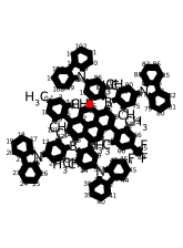 Cc1cc(C)c(-c2cc(B(c3c(C)cc(-n4c5ccccc5c5ccccc54)cc3C)c3c(C)cc(-n4c5ccccc5c5ccccc54)cc3C)c3ccc4c(-c5c(C)cc(C(F)(F)F)cc5C)cc(B(c5c(C)cc(-n6c7ccccc7c7ccccc76)cc5C)c5c(C)cc(-n6c7ccccc7c7ccccc76)cc5C)c5ccc2c3c54)c(C)c1